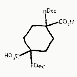 CCCCCCCCCCC1(C(=O)O)CCC(CCCCCCCCCC)(C(=O)O)CC1